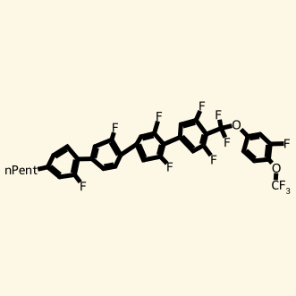 CCCCCc1ccc(-c2ccc(-c3cc(F)c(-c4cc(F)c(C(F)(F)Oc5ccc(OC(F)(F)F)c(F)c5)c(F)c4)c(F)c3)c(F)c2)c(F)c1